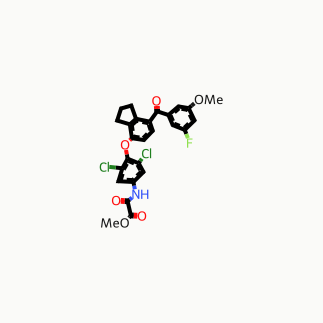 COC(=O)C(=O)Nc1cc(Cl)c(Oc2ccc(C(=O)c3cc(F)cc(OC)c3)c3c2CCC3)c(Cl)c1